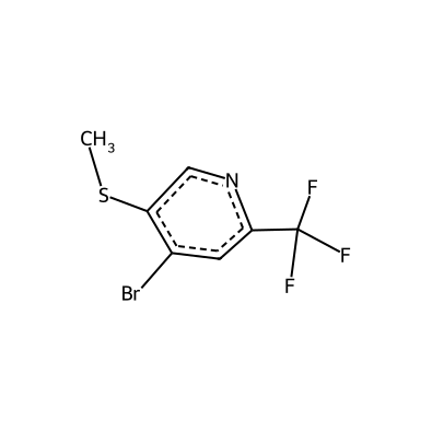 CSc1cnc(C(F)(F)F)cc1Br